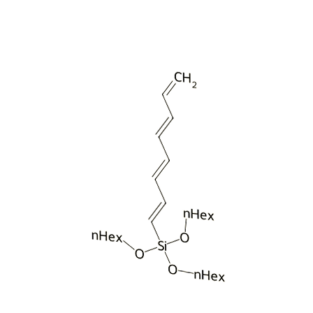 C=CC=CC=CC=C[Si](OCCCCCC)(OCCCCCC)OCCCCCC